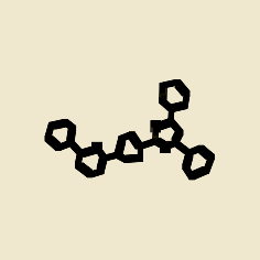 c1ccc(-c2cccc(-c3ccc(-c4nc(-c5ccccc5)cc(-c5ccccc5)n4)cc3)n2)cc1